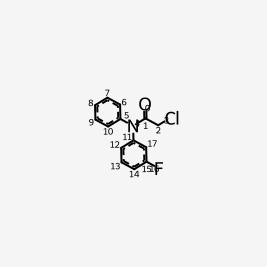 O=C(CCl)N(c1ccccc1)c1cccc(F)c1